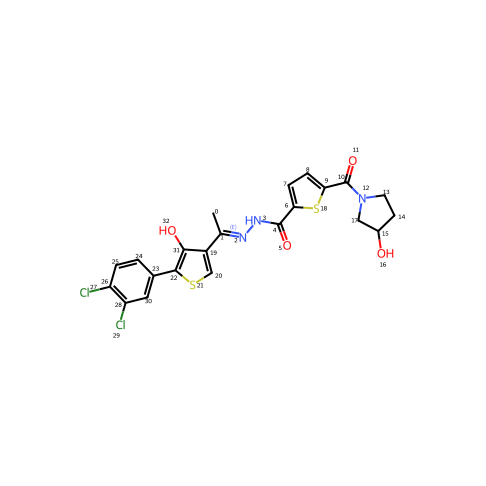 C/C(=N\NC(=O)c1ccc(C(=O)N2CCC(O)C2)s1)c1csc(-c2ccc(Cl)c(Cl)c2)c1O